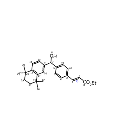 CCOC(=O)/C=C/c1ccc(C(O)c2ccc3c(c2)C(C)(C)CCC3(C)C)cc1